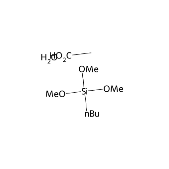 CC(=O)O.CCCC[Si](OC)(OC)OC.O